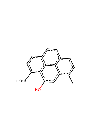 CCCCCc1ccc2ccc3ccc(C)c4cc(O)c1c2c34